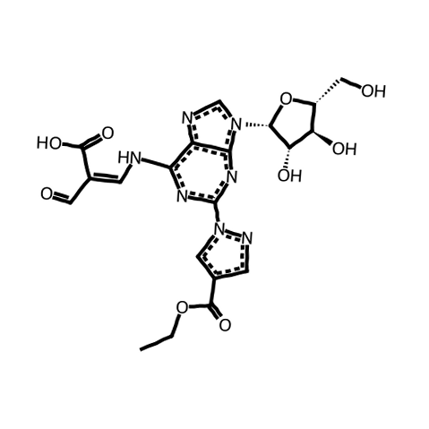 CCOC(=O)c1cnn(-c2nc(N/C=C(/C=O)C(=O)O)c3ncn([C@@H]4O[C@H](CO)[C@@H](O)[C@@H]4O)c3n2)c1